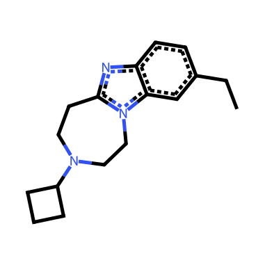 CCc1ccc2nc3n(c2c1)CCN(C1CCC1)CC3